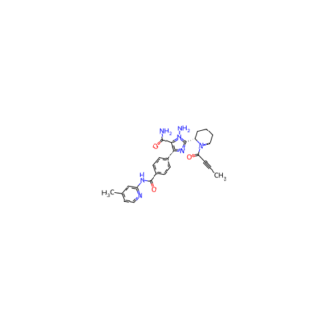 CC#CC(=O)N1CCCC[C@H]1c1nc(-c2ccc(C(=O)Nc3cc(C)ccn3)cc2)c(C(N)=O)n1N